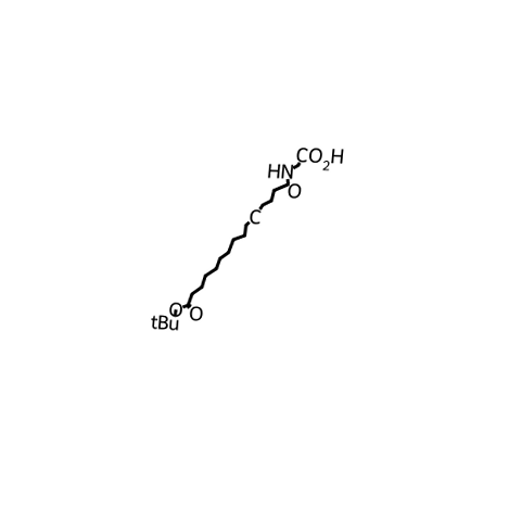 CC(C)(C)OC(=O)CCCCCCCCCCCCCC(=O)NCC(=O)O